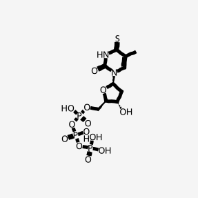 Cc1cn([C@H]2C[C@H](O)[C@@H](COP(=O)(O)OP(=O)(O)OP(=O)(O)O)O2)c(=O)[nH]c1=S